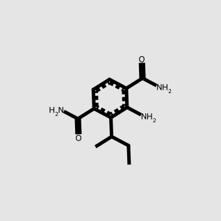 CCC(C)c1c(C(N)=O)ccc(C(N)=O)c1N